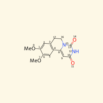 COc1cc2c(cc1OC)-c1cc(=O)[nH]c(=O)n1CC2